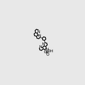 O=[PH](O)Oc1cc2ccc(-c3cccc(-c4ccc5ccc6cccnc6c5n4)c3)nc2c2ncccc12